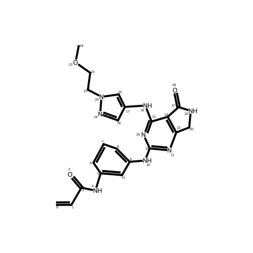 C=CC(=O)Nc1cccc(Nc2nc3c(c(Nc4cnn(CCOC)c4)n2)C(=O)NC3)c1